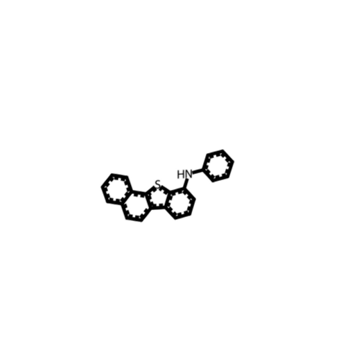 c1ccc(Nc2cccc3c2sc2c4ccccc4ccc32)cc1